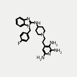 Nc1cc(CCN2CCC(Nc3nc4ccccc4n3Cc3ccc(F)cc3)CC2)c(N)c(N)n1